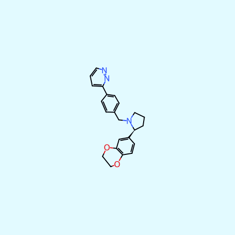 c1cnnc(-c2ccc(CN3CCC[C@H]3c3ccc4c(c3)OCCO4)cc2)c1